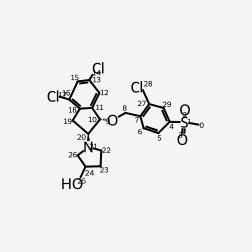 CS(=O)(=O)c1ccc(CO[C@H]2c3cc(Cl)cc(Cl)c3C[C@@H]2N2CCC(O)C2)c(Cl)c1